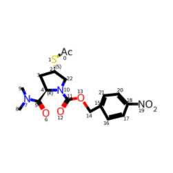 CC(=O)S[C@H]1C[C@H](C(=O)N(C)C)N(C(=O)OCc2ccc([N+](=O)[O-])cc2)C1